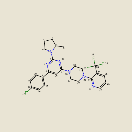 CC1CCCN1c1nc(-c2ccc(F)cc2)cc(N2CCN(c3ncccc3C(F)(F)F)CC2)n1